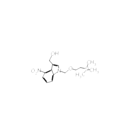 C[Si](C)(C)CCOCn1cc(CO)c2c([N+](=O)[O-])cccc21